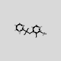 Cc1c(CC(C)(C)c2ncccn2)ccnc1C(C)(C)C